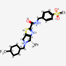 CCS(=O)(=O)c1ccc(CNC(=O)c2nc3c(s2)CN(CC2CCC(C(F)(F)F)CC2)[C@H]3C(C)C)cc1